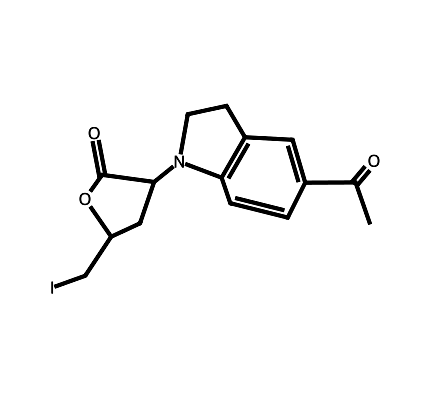 CC(=O)c1ccc2c(c1)CCN2C1CC(CI)OC1=O